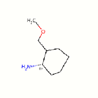 COCC1CCCC[C@@H]1N